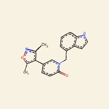 Cc1noc(C)c1-c1ccc(=O)n(Cc2cccc3[nH]ccc23)c1